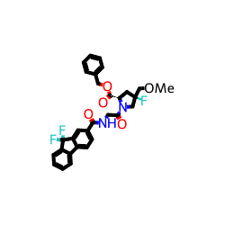 COC[C@@]1(F)C[C@@H](C(=O)OCc2ccccc2)N(C(=O)CNC(=O)c2ccc3c(c2)C(F)(F)c2ccccc2-3)C1